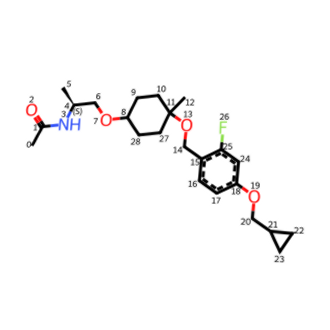 CC(=O)N[C@@H](C)COC1CCC(C)(OCc2ccc(OCC3CC3)cc2F)CC1